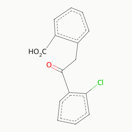 O=C(Cc1ccccc1C(=O)O)c1ccccc1Cl